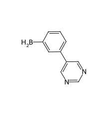 Bc1cccc(-c2cncnc2)c1